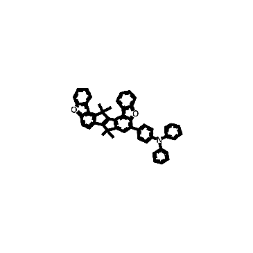 CC1(C)C2=C(c3c1cc(-c1ccc(N(c4ccccc4)c4ccccc4)cc1)c1oc4ccccc4c31)C(C)(C)c1c2ccc2oc3ccccc3c12